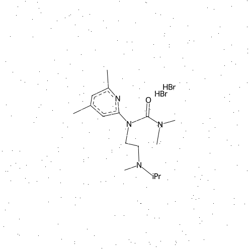 Br.Br.Cc1cc(C)nc(N(CCN(C)C(C)C)C(=O)N(C)C)c1